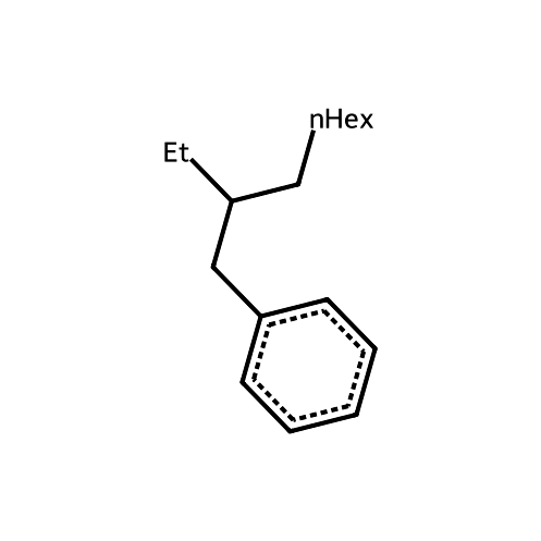 CCCCCCCC(CC)Cc1ccccc1